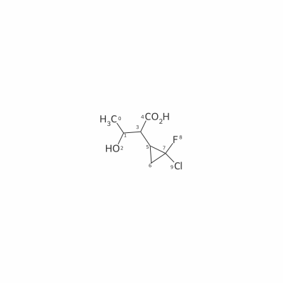 CC(O)C(C(=O)O)C1CC1(F)Cl